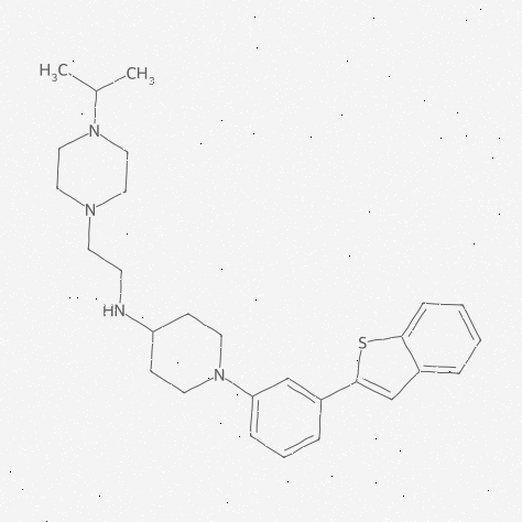 CC(C)N1CCN(CCNC2CCN(c3cccc(-c4cc5ccccc5s4)c3)CC2)CC1